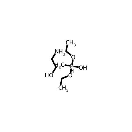 CCO[PH](C)(O)OCC.NCCO